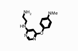 CNc1ccc(Oc2cc(NCCN)ncn2)cc1